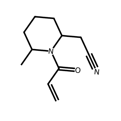 C=CC(=O)N1C(C)CCCC1CC#N